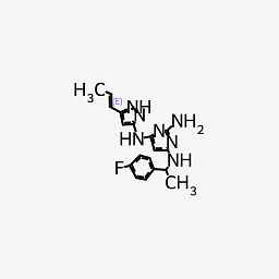 C/C=C/c1cc(Nc2cc(NC(C)c3ccc(F)cc3)nc(N)n2)n[nH]1